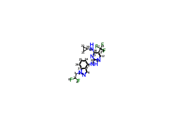 FC(F)Cn1ncc2c(Nc3ncc(C(F)(F)F)c(NC4CC4)n3)cccc21